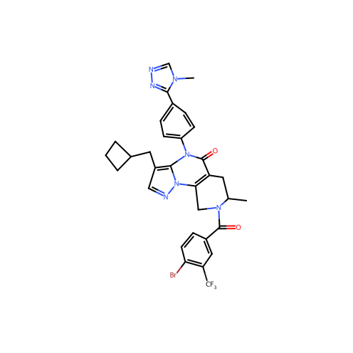 CC1Cc2c(n3ncc(CC4CCC4)c3n(-c3ccc(-c4nncn4C)cc3)c2=O)CN1C(=O)c1ccc(Br)c(C(F)(F)F)c1